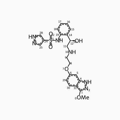 COc1n[nH]c2cc(OCCNC[C@H](O)c3ccccc3NS(=O)(=O)c3cn[nH]c3)ccc12